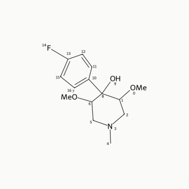 COC1CN(C)CC(OC)C1(O)c1ccc(F)cc1